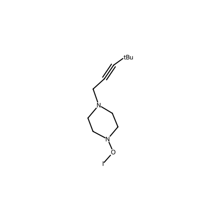 CC(C)(C)C#CCN1CCN(OI)CC1